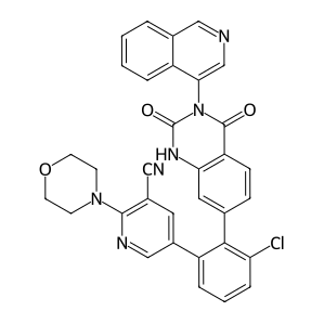 N#Cc1cc(-c2cccc(Cl)c2-c2ccc3c(=O)n(-c4cncc5ccccc45)c(=O)[nH]c3c2)cnc1N1CCOCC1